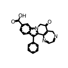 O=C1Cn2c(c(-c3ccccc3)c3ccc(C(=O)O)cc32)C2=C1CN=CC=N2